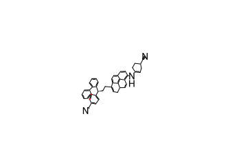 N#Cc1ccc([C@H](CCC2=CCC3C=Cc4c(NC5=CCC(C#N)CC5)ccc5ccc2c3c45)c2ccccc2-c2ccccc2)cc1